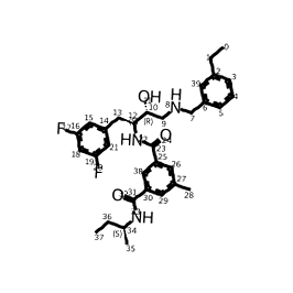 CCc1cccc(CNC[C@@H](O)[C@H](Cc2cc(F)cc(F)c2)NC(=O)c2cc(C)cc(C(=O)N[C@@H](C)CC)c2)c1